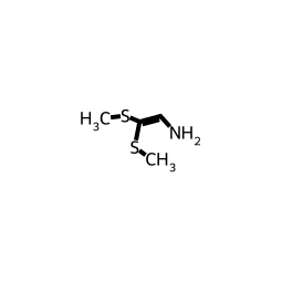 CSC(=CN)SC